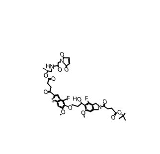 COc1cc2sc(C(=O)CCC(=O)O[C@@H](C)CNC(=O)CN3C(=O)C=CC3=O)cc2c(F)c1OCCC(O)c1c(OC)cc2c(c1F)CN(C(=O)CCC(=O)OC(C)(C)C)C2